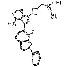 CN(C)CC1CC(n2nc(-c3ccc4ccc(-c5ccccc5)nc4c3F)c3c(N)ncnc32)C1